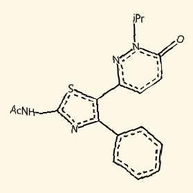 CC(=O)Nc1nc(-c2ccccc2)c(-c2ccc(=O)n(C(C)C)n2)s1